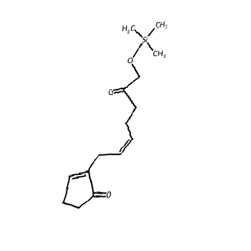 C[Si](C)(C)OCC(=O)CC/C=C\CC1=CCCC1=O